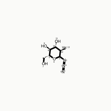 [N-]=[N+]=NC1O[C@H](CO)[C@@H](O)[C@H](O)[C@H]1[18F]